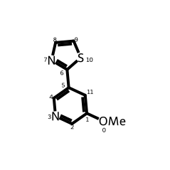 COc1cncc(-c2nccs2)c1